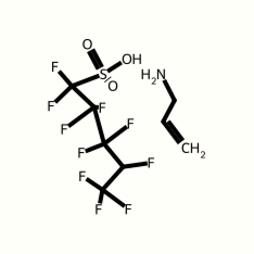 C=CCN.O=S(=O)(O)C(F)(F)C(F)(F)C(F)(F)C(F)C(F)(F)F